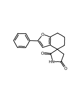 O=C1CC2(CCCc3oc(-c4ccccc4)cc32)C(=O)N1